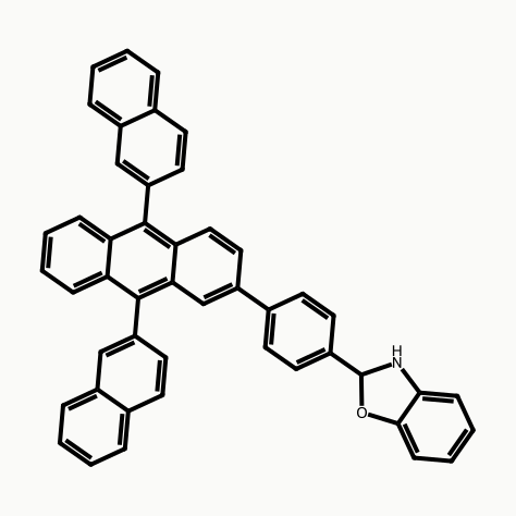 c1ccc2c(c1)NC(c1ccc(-c3ccc4c(-c5ccc6ccccc6c5)c5ccccc5c(-c5ccc6ccccc6c5)c4c3)cc1)O2